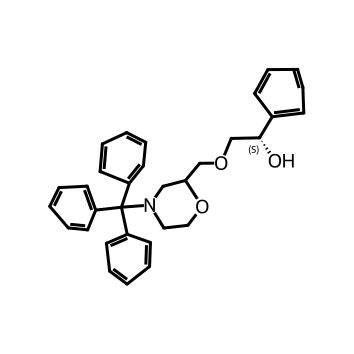 O[C@H](COCC1CN(C(c2ccccc2)(c2ccccc2)c2ccccc2)CCO1)c1ccccc1